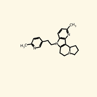 Cc1ccc(CCn2c3c(c4nc(C)ccc42)C2CCCN2CC3)cn1